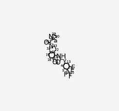 O=C(Cc1ccc(C(F)(F)F)c(F)c1)Nc1c(Cl)ccc2c1CCN(C(=O)c1nccs1)C2